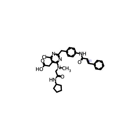 CN(CC(=O)NC1CCCC1)c1nc(Cc2ccc(NC(=O)/C=C/c3ccccc3)cc2)nc(Cl)c1CC(=O)O